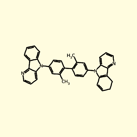 Cc1cc(-n2c3c(c4ncccc42)CCC=C3)ccc1-c1ccc(-n2c3ccccc3c3ncccc32)cc1C